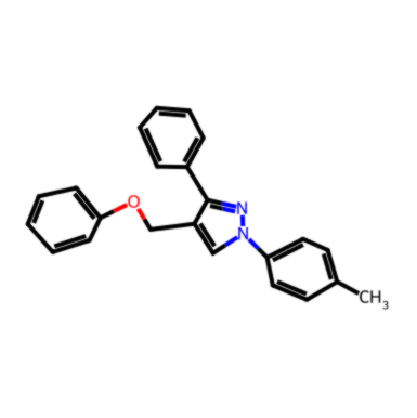 Cc1ccc(-n2cc(COc3ccccc3)c(-c3ccccc3)n2)cc1